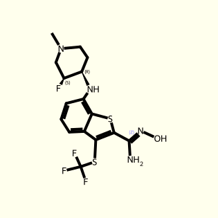 CN1CC[C@@H](Nc2cccc3c(SC(F)(F)F)c(/C(N)=N/O)sc23)[C@@H](F)C1